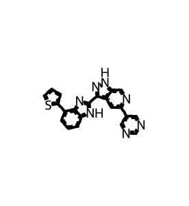 c1csc(-c2cccc3[nH]c(-c4n[nH]c5cnc(-c6cncnc6)cc45)nc23)c1